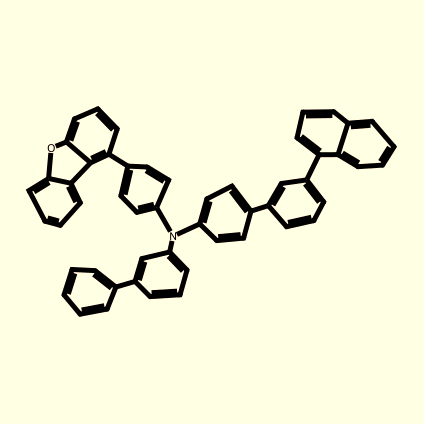 c1ccc(-c2cccc(N(c3ccc(-c4cccc(-c5cccc6ccccc56)c4)cc3)c3ccc(-c4cccc5oc6ccccc6c45)cc3)c2)cc1